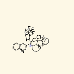 CC1(C)C2=[N+](CCC/C2=C\c2cnc3ccccc3c2)c2ccccc21.F[P-](F)(F)(F)(F)F